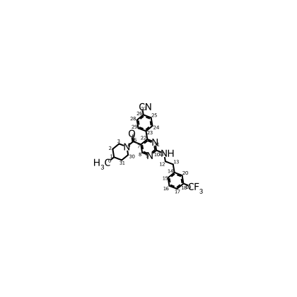 CC1CCN(C(=O)c2cnc(NCCc3cccc(C(F)(F)F)c3)nc2-c2ccc(C#N)cc2)CC1